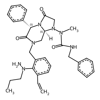 C=Cc1cccc(CN2C[C@H]3N(C(=O)CN3N(C)C(=O)NCc3ccccc3)[C@@H](c3ccccc3)C2=O)c1N(N)CCC